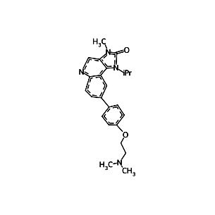 CC(C)n1c(=O)n(C)c2cnc3ccc(-c4ccc(OCCN(C)C)cc4)cc3c21